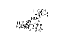 CC(C)(C)NCC(O)COc1ccccc1C=Cc1cc(C(C)(C)C)no1